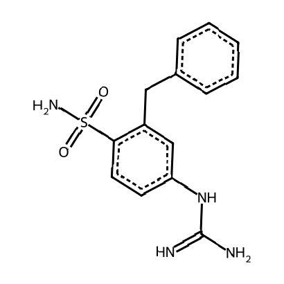 N=C(N)Nc1ccc(S(N)(=O)=O)c(Cc2ccccc2)c1